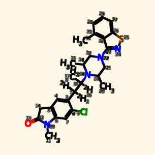 [2H]C([2H])(c1cc2c(cc1Cl)N(C)C(=O)C2)C([2H])(C)N1C(C)CN(c2nsc3cccc(C)c23)CC1C